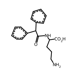 NCCCC(NC(=O)C(c1ccccc1)c1ccccc1)C(=O)O